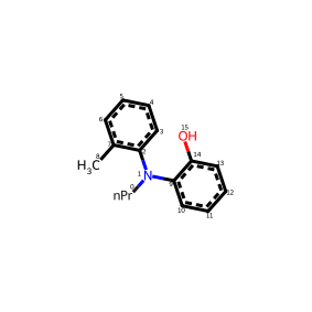 CCCN(c1ccccc1C)c1ccccc1O